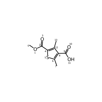 COC(=O)c1sc(C)c(C(=O)O)c1C